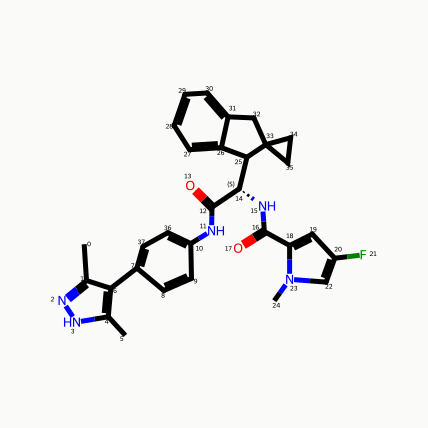 Cc1n[nH]c(C)c1-c1ccc(NC(=O)[C@@H](NC(=O)c2cc(F)cn2C)C2c3ccccc3CC23CC3)cc1